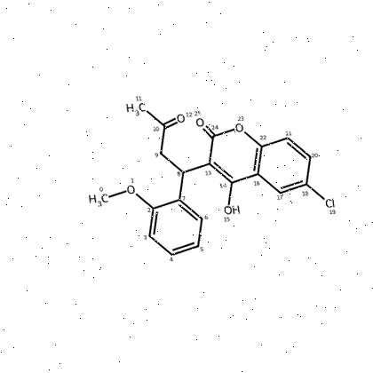 COc1ccccc1C(CC(C)=O)c1c(O)c2cc(Cl)ccc2oc1=O